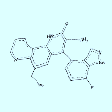 CC(C)Cc1cc2c(-c3ccc(F)c4[nH]ncc34)c(N)c(=O)[nH]c2c2cccnc12